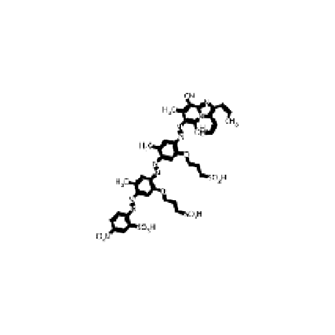 C/C=C\c1nc2c(C#N)c(C)c(N=Nc3cc(C)c(N=Nc4cc(C)c(N=Nc5ccc([N+](=O)[O-])cc5S(=O)(=O)O)cc4OCCCS(=O)(=O)O)cc3OCCCS(=O)(=O)O)c(O)n2c1/C=C\C